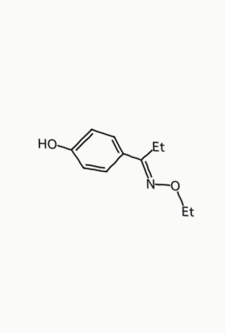 CCO/N=C(\CC)c1ccc(O)cc1